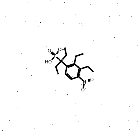 CCc1c([N+](=O)[O-])ccc(C(CC)(CC)P(=O)(O)O)c1CC